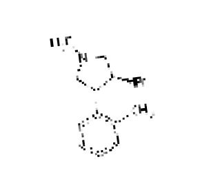 Cc1ccccc1C1CN(C)C[C@H]1C(C)C